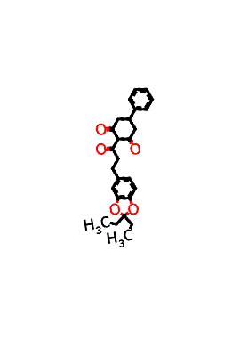 CCC1(CC)Oc2ccc(CCC(=O)C3C(=O)CC(c4ccccc4)CC3=O)cc2O1